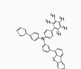 [2H]c1c([2H])c([2H])c(-c2ccc(N(c3ccc(-c4ccccc4)cc3)c3cccc(-c4cccc5c4sc4ccccc45)c3)cc2)c([2H])c1[2H]